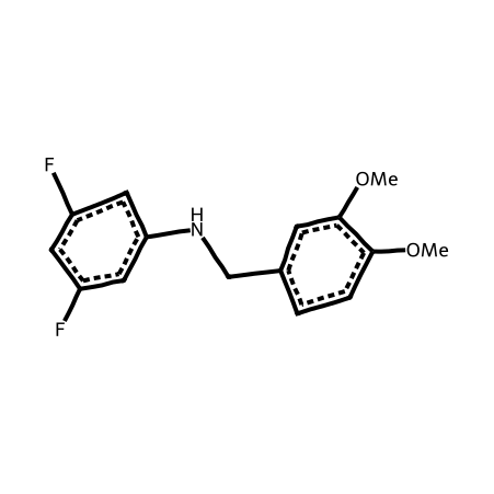 COc1ccc(CNc2cc(F)cc(F)c2)cc1OC